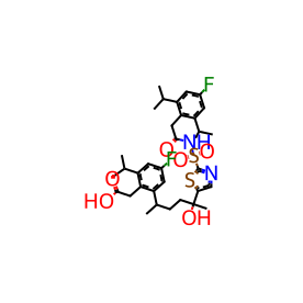 CC(C)c1cc(F)cc(C(C)C)c1CC(=O)NS(=O)(=O)c1ncc(C(C)(O)CCC(C)c2cc(F)cc(C(C)C)c2CC(=O)O)s1